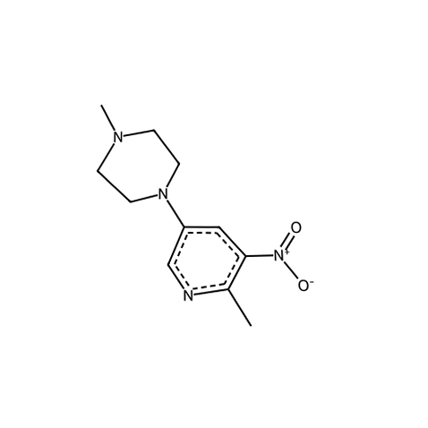 Cc1ncc(N2CCN(C)CC2)cc1[N+](=O)[O-]